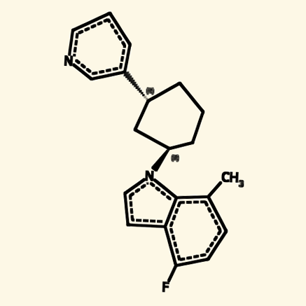 Cc1ccc(F)c2ccn([C@@H]3CCC[C@@H](c4cccnc4)C3)c12